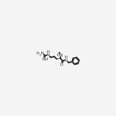 CN[C@H](CCCNC(=N)N)C(=O)NCc1ccccc1